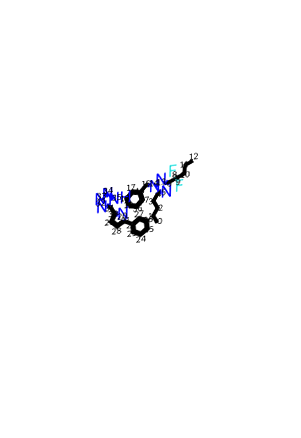 CCCCc1nc(C(F)(F)CCC)nn1Cc1ccc(-n2c(-c3ccccc3)ccc2-c2nnn[nH]2)cc1